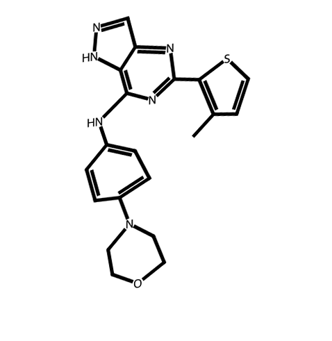 Cc1ccsc1-c1nc(Nc2ccc(N3CCOCC3)cc2)c2[nH]ncc2n1